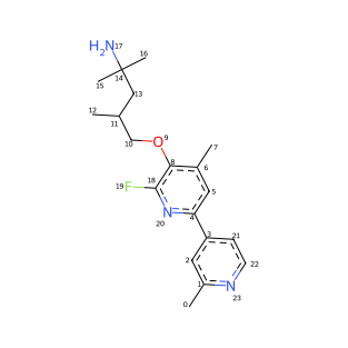 Cc1cc(-c2cc(C)c(OCC(C)CC(C)(C)N)c(F)n2)ccn1